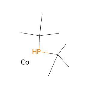 CC(C)(C)PC(C)(C)C.[Co]